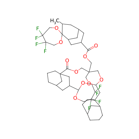 CC1CC2CC(C(=O)OCC3(COC(=O)C45CCCC(CC(C6OCC(F)(F)C(F)(F)CO6)C4)C5)COC(CC4CCC5CCCC4C5)OC3)CC(C2)C12OCC(F)(F)C(F)(F)CO2